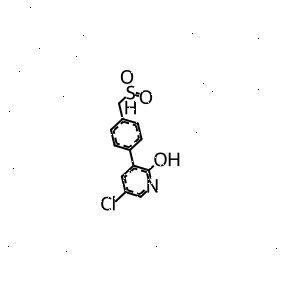 O=[SH](=O)Cc1ccc(-c2cc(Cl)cnc2O)cc1